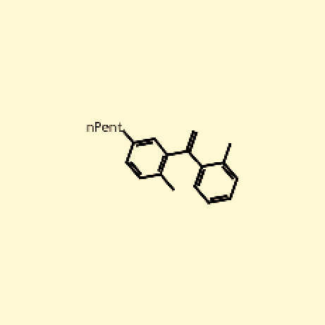 C=C(c1ccccc1C)c1cc(CCCCC)ccc1C